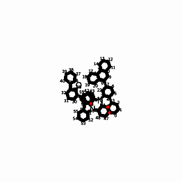 c1ccc(-c2ccc(-c3cc4ccccc4c4ccccc34)cc2N(c2ccc(-c3cccc4c3oc3ccccc34)cc2)c2ccccc2-n2c3ccccc3c3ccccc32)cc1